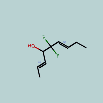 C/C=C/C(O)C(F)(F)/C=C/CC